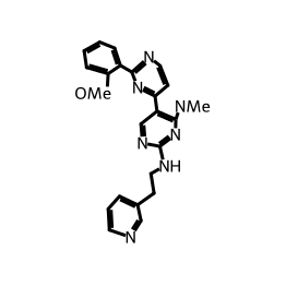 CNc1nc(NCCc2cccnc2)ncc1-c1ccnc(-c2ccccc2OC)n1